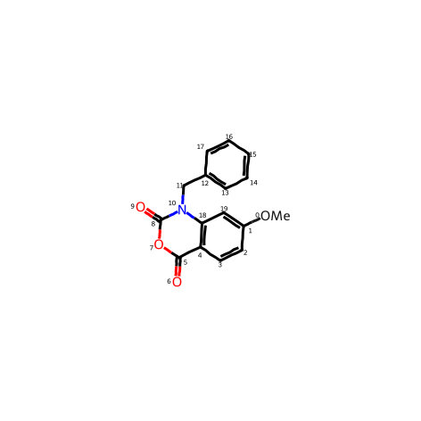 COc1ccc2c(=O)oc(=O)n(Cc3ccccc3)c2c1